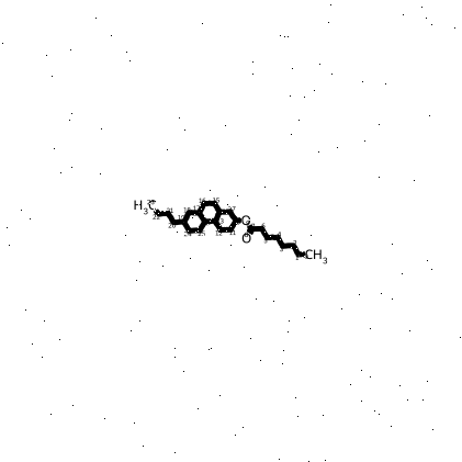 CCCCCCCC(=O)OC1CCC2C(CCC3CC(CCCC)CCC32)C1